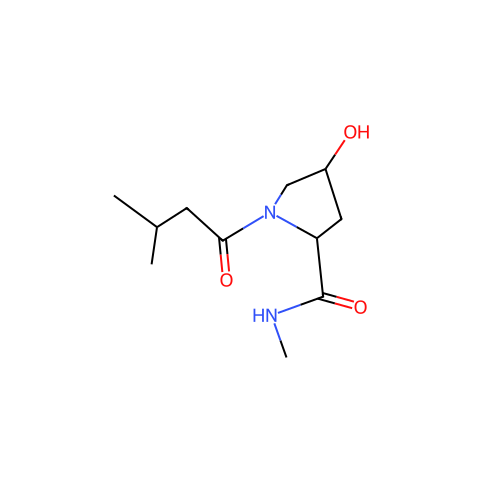 CNC(=O)C1CC(O)CN1C(=O)CC(C)C